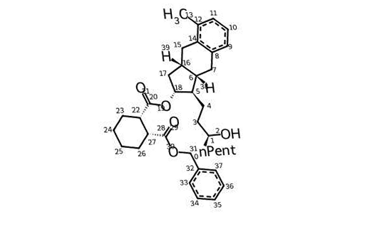 CCCCC[C@H](O)CC[C@@H]1[C@H]2Cc3cccc(C)c3C[C@H]2C[C@H]1OC(=O)[C@H]1CCCC[C@H]1C(=O)OCc1ccccc1